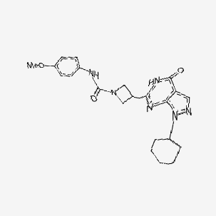 COc1ccc(NC(=O)N2CC(c3nc4c(cnn4C4CCCCC4)c(=O)[nH]3)C2)cc1